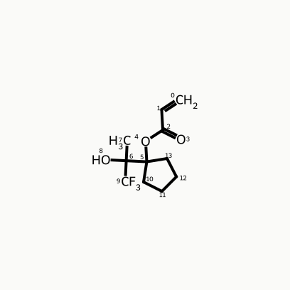 C=CC(=O)OC1(C(C)(O)C(F)(F)F)CCCC1